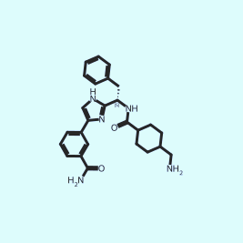 NCC1CCC(C(=O)N[C@@H](Cc2ccccc2)c2nc(-c3cccc(C(N)=O)c3)c[nH]2)CC1